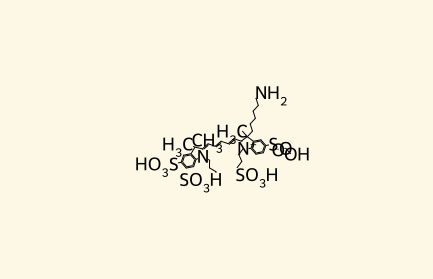 CC1(CCCCCCN)C(/C=C/C=C/C=C2\N(CCCS(=O)(=O)O)c3ccc(S(=O)(=O)O)cc3C2(C)C)=[N+](CCCS(=O)(=O)O)c2ccc(SOOO)cc21